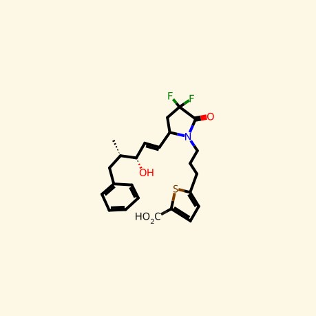 C[C@@H](Cc1ccccc1)[C@@H](O)/C=C/C1CC(F)(F)C(=O)N1CCCc1ccc(C(=O)O)s1